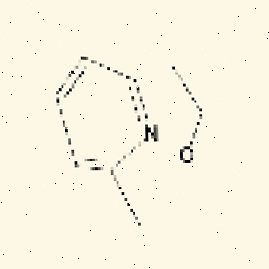 CC[O].Cc1ccccn1